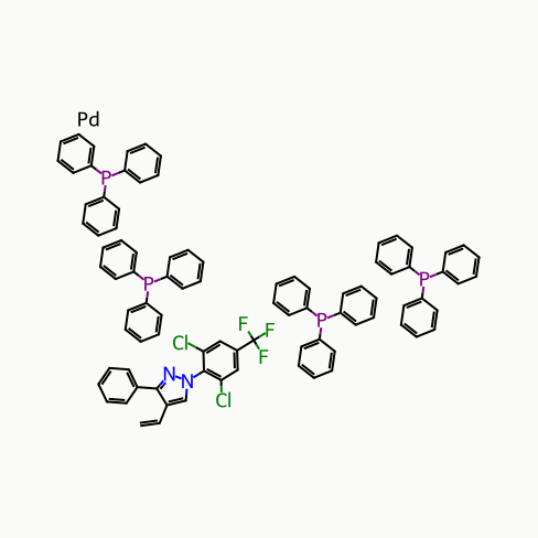 C=Cc1cn(-c2c(Cl)cc(C(F)(F)F)cc2Cl)nc1-c1ccccc1.[Pd].c1ccc(P(c2ccccc2)c2ccccc2)cc1.c1ccc(P(c2ccccc2)c2ccccc2)cc1.c1ccc(P(c2ccccc2)c2ccccc2)cc1.c1ccc(P(c2ccccc2)c2ccccc2)cc1